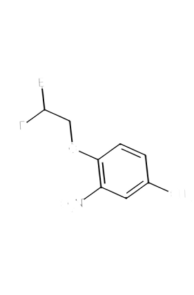 CCC(F)COc1ccc(C)cc1[N+](=O)[O-]